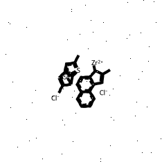 CC1=C2c3cc(C)sc3C1[Si]2(C)C.CC1=Cc2c(ccc3ccccc23)[CH]1[Zr+2].[Cl-].[Cl-]